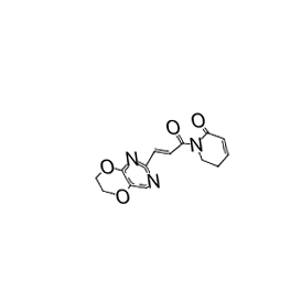 O=C1C=CCCN1C(=O)C=Cc1ncc2c(n1)OCCO2